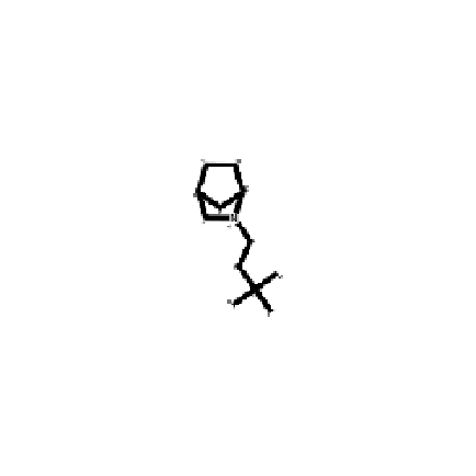 CC(C)(C)CCN1CC2CCC1C2